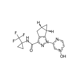 O=C(NC1(C(F)(F)F)CC1)c1nn(-c2c[n+](O)ccn2)c2c1C[C@@H]1C[C@H]21